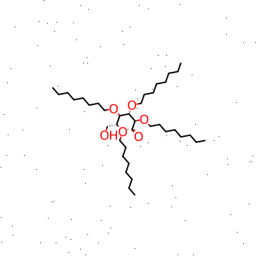 CCCCCCCCO[C@@H]([C@H](OCCCCCCCC)[C@@H](CO)OCCCCCCCC)[C@H](C=O)OCCCCCCCC